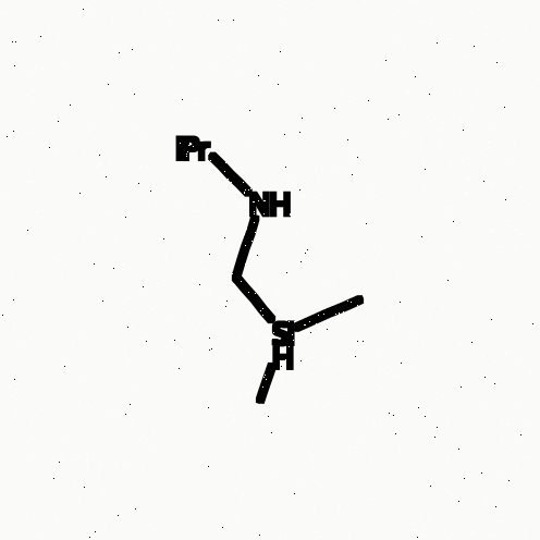 CC(C)NC[SiH](C)C